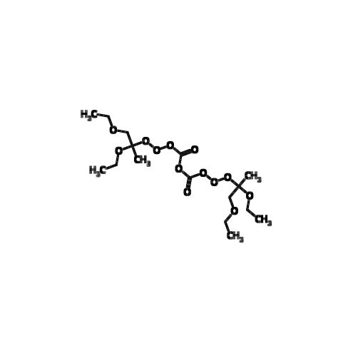 CCOCC(C)(OCC)OOOC(=O)OC(=O)OOOC(C)(COCC)OCC